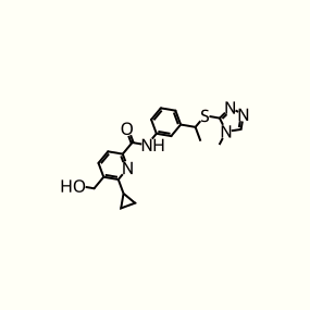 CC(Sc1nncn1C)c1cccc(NC(=O)c2ccc(CO)c(C3CC3)n2)c1